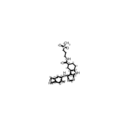 CS(=O)(=O)CCCNC(=O)C1CCc2[nH]c3ncnc(Nc4cc5cn[nH]c5cc4F)c3c2C1